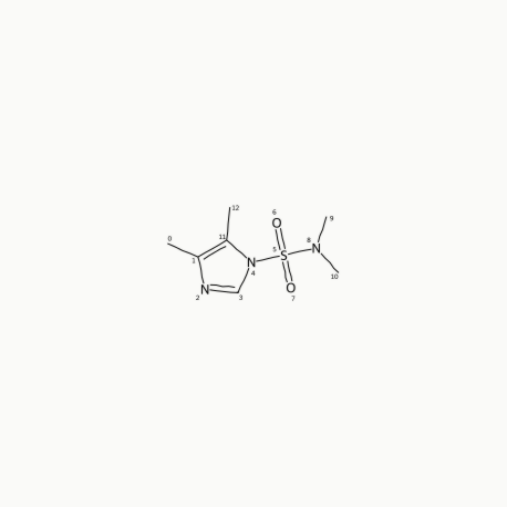 Cc1ncn(S(=O)(=O)N(C)C)c1C